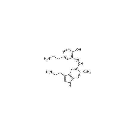 NCCc1c[nH]c2ccc(O)cc12.NCCc1ccc(O)c(O)c1.[CaH2]